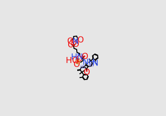 C=C(/C=C1\C(=O)C(/C=C2/N(C)c3ccccc3C2(C)C)=C1NC(CS(=O)(=O)O)C(=O)NCCCCC(=O)ON1C(=O)CCC1=O)C(C)(C)c1ccccc1C